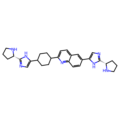 c1cc2nc(C3CCC(c4cnc([C@@H]5CCCN5)[nH]4)CC3)ccc2cc1-c1cnc([C@@H]2CCCN2)[nH]1